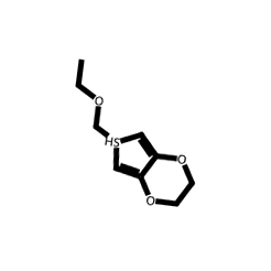 CCOC[SH]1C=C2OCCOC2=C1